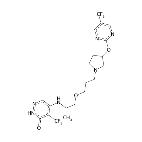 C[C@@H](COCCCN1CCC(Oc2ncc(C(F)(F)F)cn2)C1)Nc1cn[nH]c(=O)c1C(F)(F)F